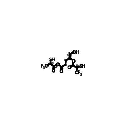 O=C(CC/C(=N/O)OC(=O)C(S)C(F)(F)F)OC(=O)C(S)C(F)(F)F